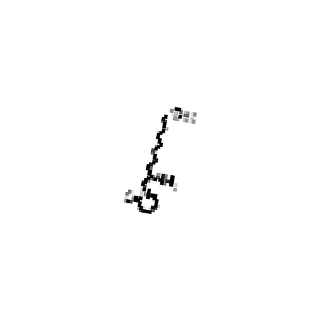 CCCCCCCCCCCCCCCCCC(N)CN1CCCCC1=O